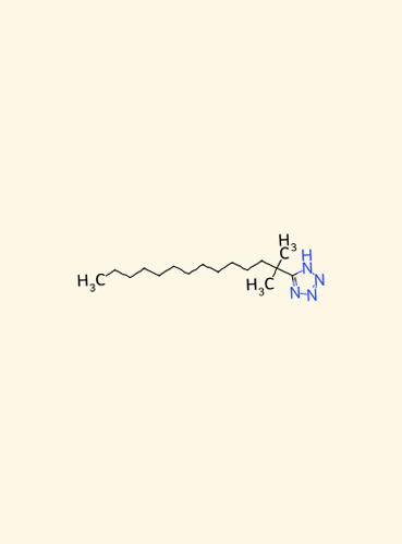 CCCCCCCCCCCCC(C)(C)c1nnn[nH]1